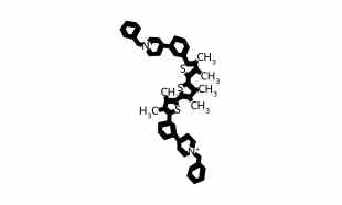 Cc1c(-c2cccc(-c3cc[n+](Cc4ccccc4)cc3)c2)sc(-c2sc(-c3sc(-c4cccc(-c5cc[n+](Cc6ccccc6)cc5)c4)c(C)c3C)c(C)c2C)c1C